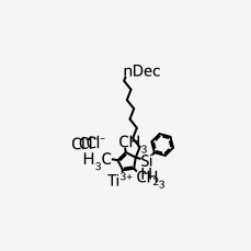 CCCCCCCCCCCCCCCCCCC1([SiH2]c2ccccc2)C(C)=C(C)[C]([Ti+3])=C1C.[Cl-].[Cl-].[Cl-]